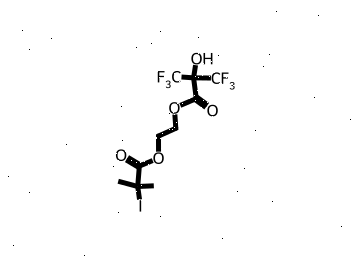 CC(C)(I)C(=O)OCCOC(=O)C(O)(C(F)(F)F)C(F)(F)F